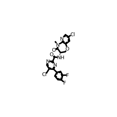 CN1C(=O)[C@@H](NC(=O)c2ncc(Cl)c(-c3ccc(F)c(F)c3)n2)COc2cc(Cl)cnc21